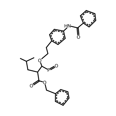 CC(C)CC(C(=O)OCc1ccccc1)C(OCCc1ccc(NC(=O)c2ccccc2)cc1)P=O